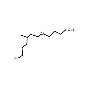 CCCCCCCCCCCOCCC(C)CCCC(C)C